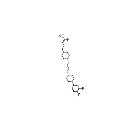 N#C/C(F)=C/CC[C@H]1CC[C@H](CCCC[C@H]2CC[C@H](c3ccc(F)c(F)c3)CC2)CC1